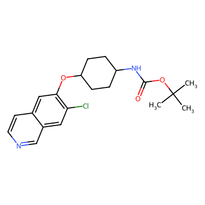 CC(C)(C)OC(=O)NC1CCC(Oc2cc3ccncc3cc2Cl)CC1